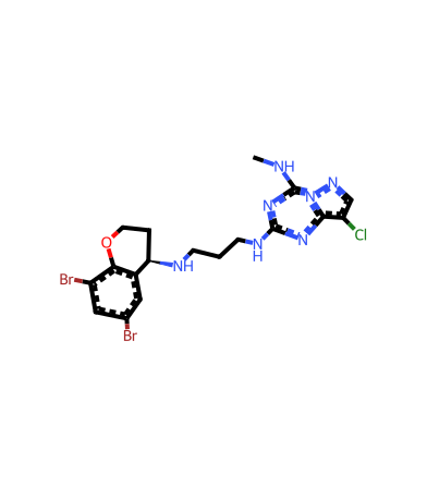 CNc1nc(NCCCN[C@@H]2CCOc3c(Br)cc(Br)cc32)nc2c(Cl)cnn12